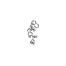 Cn1cc(Nc2cc3c(ccn3S(=O)(=O)c3cccc4cccnc34)cn2)cn1